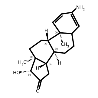 C[C@]12CC[C@H]3[C@@H](CCC4C=C(N)C=C[C@@]43C)[C@@H]1CC(=O)[C@@H]2O